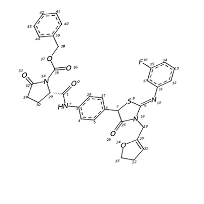 O=C(Nc1ccc(C2S/C(=N\c3cccc(F)c3)N(CC3=CCCO3)C2=O)cc1)[C@@H]1CCC(=O)N1C(=O)OCc1ccccc1